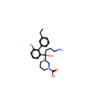 CCc1cccc(-c2c(Cl)cccc2[C@](O)(CCCN)[C@@H]2CCCN(C(=O)O)C2)c1